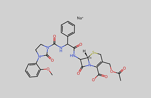 COc1ccccc1N1CCN(C(=O)NC(C(=O)NC2C(=O)N3C(C(=O)[O-])=C(COC(C)=O)CS[C@@H]23)c2ccccc2)C1=O.[Na+]